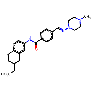 CN1CCN(N=Cc2ccc(C(=O)Nc3ccc4c(c3)CC(CC(=O)O)CC4)cc2)CC1